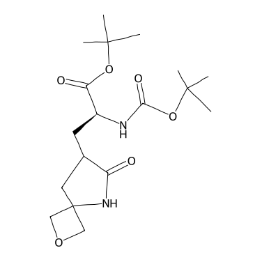 CC(C)(C)OC(=O)N[C@@H](CC1CC2(COC2)NC1=O)C(=O)OC(C)(C)C